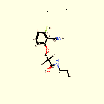 CCCNC(=O)C(C)(C)COc1cccc(F)c1C#N